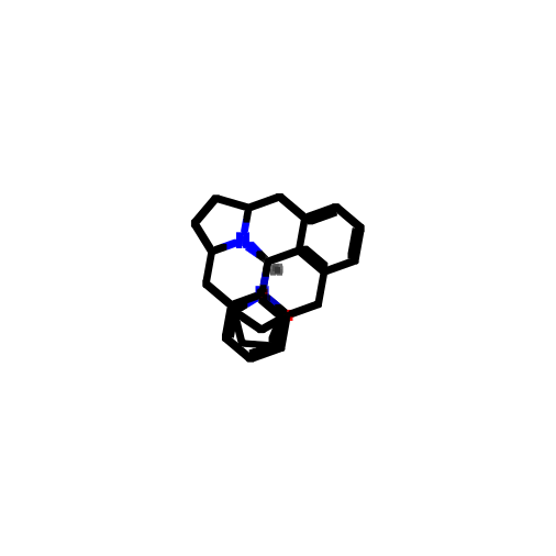 C1=C2Cc3cccc4c3[C@@]35c6c(cccc6CC6CCC(C4)N63)CC(C1)N25